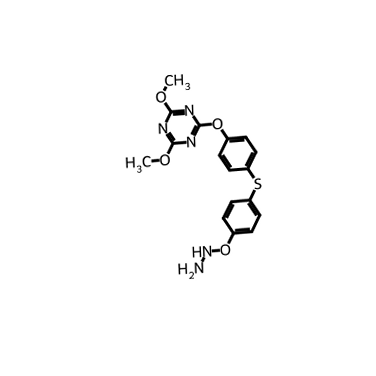 COc1nc(OC)nc(Oc2ccc(Sc3ccc(ONN)cc3)cc2)n1